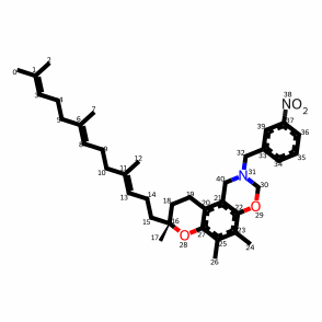 CC(C)=CCC/C(C)=C/CC/C(C)=C/CC[C@]1(C)CCc2c3c(c(C)c(C)c2O1)OCN(Cc1cccc([N+](=O)[O-])c1)C3